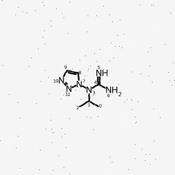 CC(C)N(C(=N)N)n1ccnn1